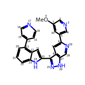 COc1cncc(-c2cc3c(-c4cc5c(-c6ccncc6)cccc5[nH]4)n[nH]c3cn2)c1